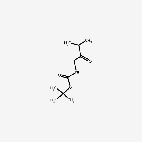 CC(C)C(=O)CNC(=O)OC(C)(C)C